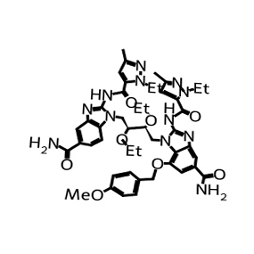 CCO[C@@H](Cn1c(NC(=O)c2cc(C)nn2CC)nc2cc(C(N)=O)ccc21)[C@H](Cn1c(NC(=O)c2cc(C)nn2CC)nc2cc(C(N)=O)cc(OCc3ccc(OC)cc3)c21)OCC